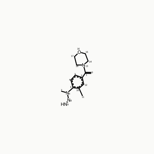 C=C(c1ccc(N(C)N=N)c(C)c1)N1CCOCC1